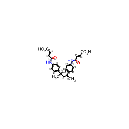 C=C(CC(C)(C)c1ccc(NC(=O)C=CC(=O)O)cc1)c1ccc(NC(=O)C=CC(=O)O)cc1